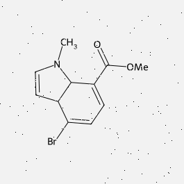 COC(=O)C1=CC=C(Br)C2C=CN(C)C12